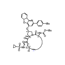 CC(C)(C)OC(=O)N[C@H]1CCCCC/C=C\[C@@H]2C[C@@]2(C(=O)NS(=O)(=O)C2CC2)NC(=O)[C@@H]2C[C@@H](Oc3cc(-c4ccc(C(C)(C)C)cc4)nc4c3OC3C=CC=CC43)CN2C1=O